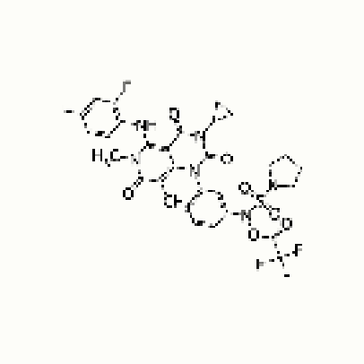 Cc1c(=O)n(C)c(Nc2ccc(I)cc2F)c2c(=O)n(C3CC3)c(=O)n(-c3cccc(N(OC(=O)C(F)(F)F)S(=O)(=O)N4CCCC4)c3)c12